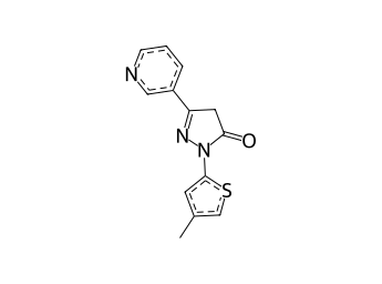 Cc1csc(N2N=C(c3cccnc3)CC2=O)c1